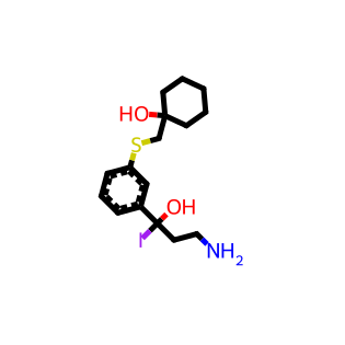 NCCC(O)(I)c1cccc(SCC2(O)CCCCC2)c1